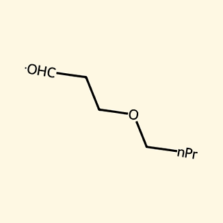 CCCCOCC[C]=O